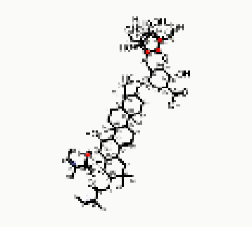 C/C=C(/C)C(=O)C[C@H]1[C@H](OC(=O)/C(C)=C\C)[C@@]2(CO)C(CC1(C)C)C1=CCC3[C@@]4(C)CCC(O[C@@H]5OC(C(=O)O)[C@@H](O)[C@@H](O[C@@H]6O[C@@H](CO)C(O)[C@@H]6O)C5O[C@@H]5OC(CO)[C@@H](O)[C@@H](O)C5O)[C@](C)(CO)C4CC[C@@]3(C)[C@]1(C)[C@@H](O)[C@H]2O